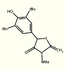 C=C1SC(c2cc(C(C)(C)C)c(O)c(C(C)(C)C)c2)C(=O)N1NC